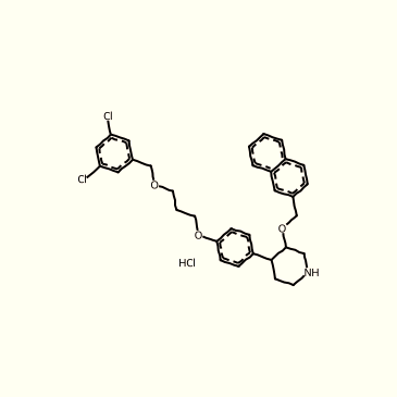 Cl.Clc1cc(Cl)cc(COCCCOc2ccc(C3CCNCC3OCc3ccc4ccccc4c3)cc2)c1